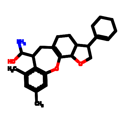 Cc1cc(C)c2c(c1)OC1=C(CCC3C(C4=CCCCC4)COC13)CC2C(N)O